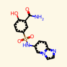 NC(=O)c1cc(S(=O)(=O)Nc2ccc3nccn3c2)ccc1O